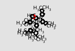 Cc1cc2c3c(c1)N(c1ccc(C(C)(C)C)cc1-c1ccccc1)c1cc(N4c5ccc(C(C)(C)C)cc5C5(C)CC(C(C)(C)C)CCC45C)ccc1B3c1cc3c(cc1N2c1ccc2c(c1)CC(C)(C)C2)CC(C)(C)C3